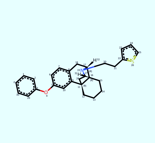 c1ccc(Oc2ccc3c(c2)[C@@]24CCCC[C@H]2[C@@H](C3)N(CCc2cccs2)CC4)cc1